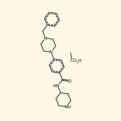 CC(=O)O.O=C(NC1CCNCC1)c1ccc(N2CCN(Cc3ccccc3)CC2)cc1